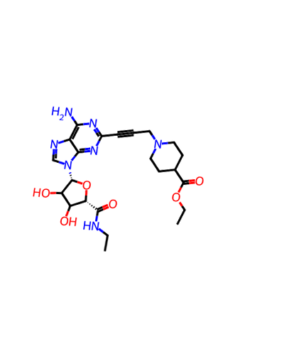 CCNC(=O)[C@H]1O[C@@H](n2cnc3c(N)nc(C#CCN4CCC(C(=O)OCC)CC4)nc32)C(O)C1O